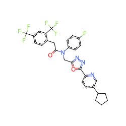 O=C(Cc1ccc(C(F)(F)F)cc1C(F)(F)F)N(Cc1nnc(-c2ccc(C3CCCC3)cn2)o1)c1ccc(F)cc1